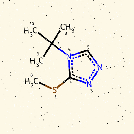 [CH2]Sc1nncn1C(C)(C)C